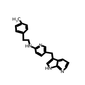 Cc1ccc(CCNc2ccc(Cc3c[nH]c4ncccc34)cn2)cc1